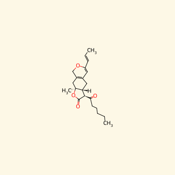 C/C=C/C1=CC2=C(CO1)C[C@]1(C)OC(=O)[C@H](C(=O)CCCCC)[C@H]1C2